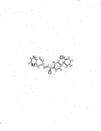 O=C(/C=C/c1ccc2nccnc2c1)c1ccc(-c2ccccc2Cl)cc1